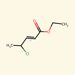 CCOC(=O)/C=C/C(C)Cl